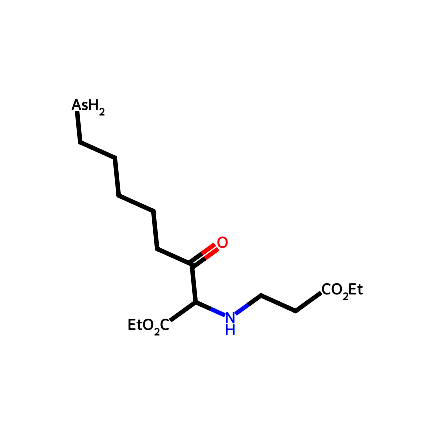 CCOC(=O)CCNC(C(=O)CCCCC[AsH2])C(=O)OCC